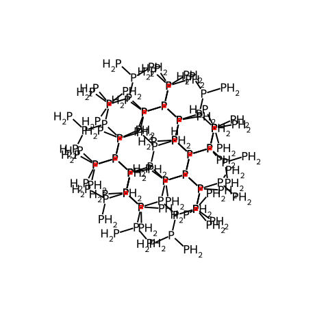 PPP(P(P)P)P(P(P(P)P)P(P)P)P(P(P(P(P)P)P(P)P)P(P(P)P)P(P)P)P(P(P(P(P)P)P(P)P)P(P(P)P)P(P)P)P(P(P(P(P(P)P)P(P)P)P(P(P)P)P(P)P)P(P(P(P)P)P(P)P)P(P(P)P)P(P)P)P(P(P(P(P)P)P(P)P)P(P(P)P)P(P)P)P(P(P(P)P)P(P)P)P(P(P)P)P(P)P